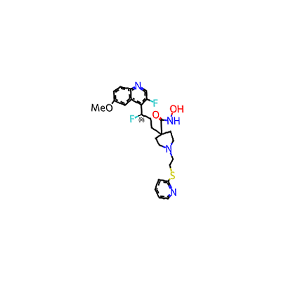 COc1ccc2ncc(F)c([C@H](F)CCC3(C(=O)NO)CCN(CCSc4ccccn4)CC3)c2c1